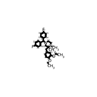 CCOc1ccc(CC2(C)CN(C(c3ccc(F)cc3)c3ccc(F)cc3)CCN2C)cc1OCC